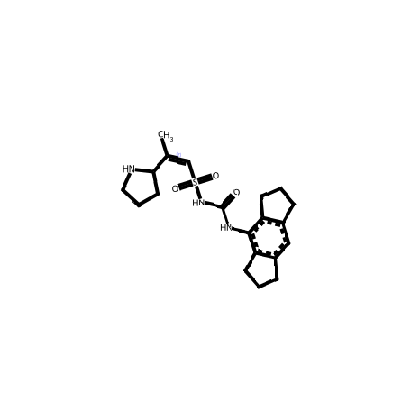 C/C(=C/S(=O)(=O)NC(=O)Nc1c2c(cc3c1CCC3)CCC2)C1CCCN1